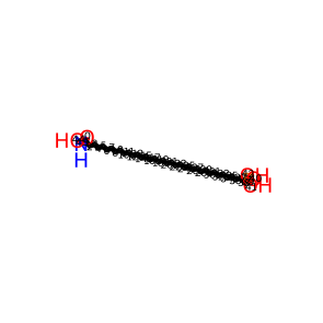 O=C(CCCCCCCCCCCCCCCCCCCCCCCCCCCCCCCCCCCCCP(=O)(O)O)NO